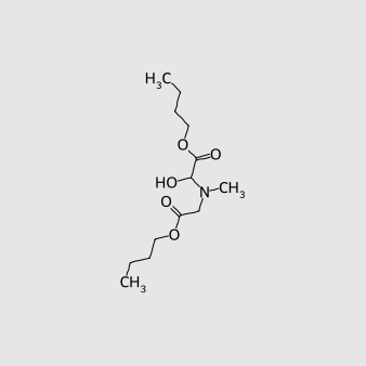 CCCCOC(=O)CN(C)C(O)C(=O)OCCCC